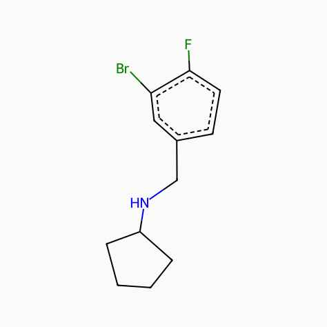 Fc1ccc(CNC2CCCC2)cc1Br